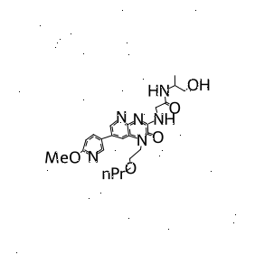 CCCOCCn1c(=O)c(NCC(=O)NC(C)CO)nc2ncc(-c3ccc(OC)nc3)cc21